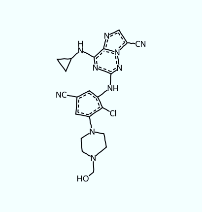 N#Cc1cc(Nc2nc(NC3CC3)c3ncc(C#N)n3n2)c(Cl)c(N2CCN(CO)CC2)c1